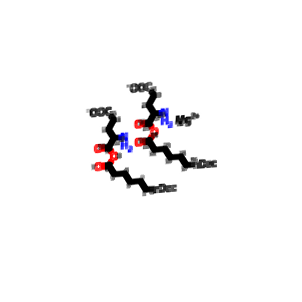 CCCCCCCCCCCCCCCC(=O)OC(=O)C(N)CCC(=O)[O-].CCCCCCCCCCCCCCCC(=O)OC(=O)C(N)CCC(=O)[O-].[Mg+2]